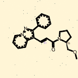 COC[C@@H]1CCCN1C(=O)/C=C/c1c(-c2ccccc2)nn2ccccc12